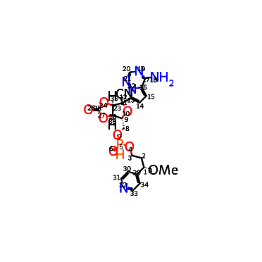 CO[C@@H](CCO[PH](=O)OC[C@H]1O[C@@](C#N)(c2ccc3c(N)ncnn23)[C@@H]2OC(=O)O[C@@H]21)c1ccncc1